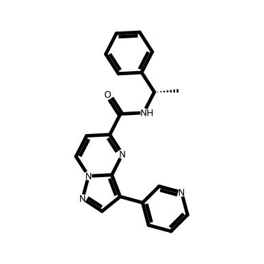 C[C@H](NC(=O)c1ccn2ncc(-c3cccnc3)c2n1)c1ccccc1